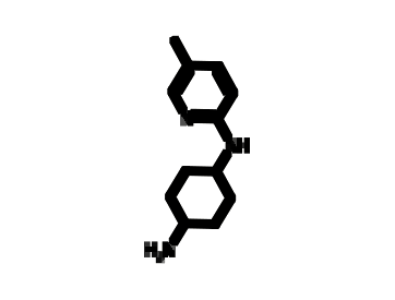 Cc1ccc(NC2CCC(N)CC2)nc1